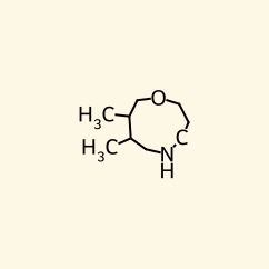 CC1CNCCCOCC1C